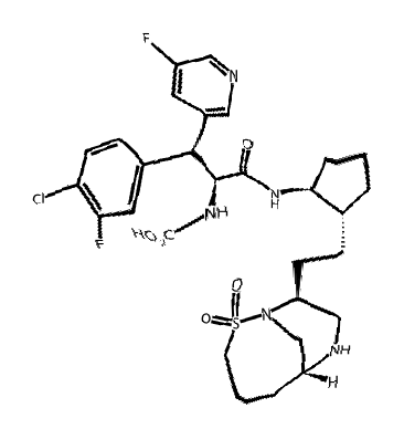 O=C(O)N[C@H](C(=O)N[C@H]1CCC[C@@H]1CC[C@H]1CN[C@@H]2CCCS(=O)(=O)N1C2)[C@H](c1cncc(F)c1)c1ccc(Cl)c(F)c1